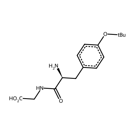 CC(C)(C)Oc1ccc(C[C@H](N)C(=O)NCC(=O)O)cc1